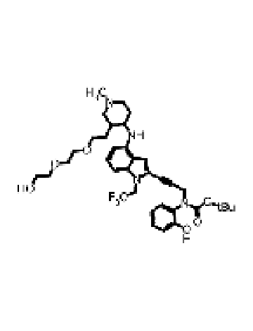 CN1CCC(Nc2cccc3c2cc(C#CCN(C(=O)OC(C)(C)C)c2ccccc2O)n3CC(F)(F)F)C(CCOCCOCCO)C1